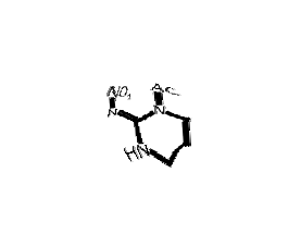 CC(=O)N1CCCNC1=N[N+](=O)[O-]